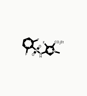 CCOC(=O)c1c(F)c(NS(=O)(=O)c2c(F)cccc2F)cn1C